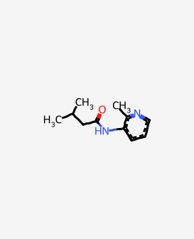 Cc1ncccc1NC(=O)CC(C)C